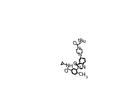 Cc1ccc(C(=O)NC2CC2)cc1-n1cnc2ccc(N3CCN(C(=O)CC(C)(C)C)CC3)cc2c1=O